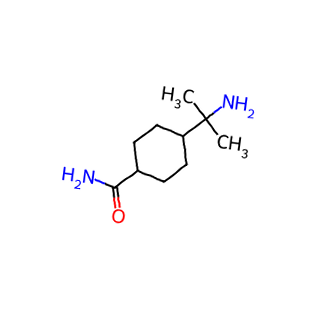 CC(C)(N)C1CCC(C(N)=O)CC1